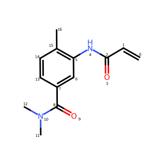 C=CC(=O)Nc1cc(C(=O)N(C)C)ccc1C